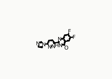 O=c1[nH]c(-c2ccc(-n3ccnc3)nn2)nc2cc(F)c(F)cc12